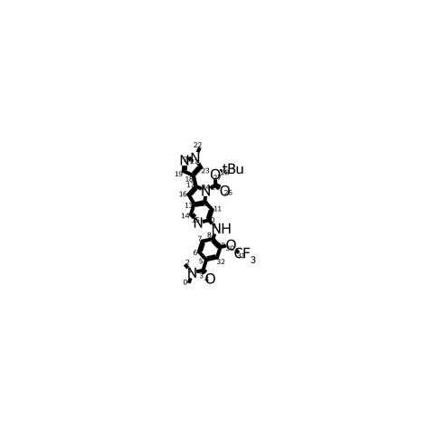 CN(C)C(=O)c1ccc(Nc2cc3c(cn2)cc(-c2cnn(C)c2)n3C(=O)OC(C)(C)C)c(OC(F)(F)F)c1